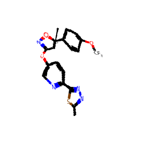 Cc1nnc(-c2ccc(OC3=NO[C@](C)(c4ccc(OC(F)(F)F)cc4)C3)cn2)s1